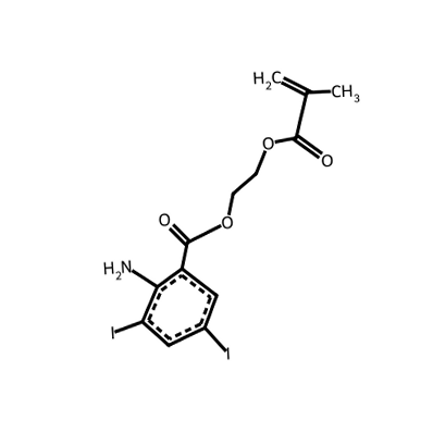 C=C(C)C(=O)OCCOC(=O)c1cc(I)cc(I)c1N